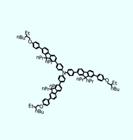 CCCCC(CC)COc1ccc(-c2ccc3c(c2)C(CCC)(CCC)c2cc(-c4ccc(N(c5ccc(-c6ccc7c(c6)C(CCC)(CCC)c6cc(-c8ccc(OCC(CC)CCCC)cc8)ccc6-7)cc5)c5ccc(-c6ccc7c(c6)C(CCC)(CCC)c6cc(-c8ccc(OCC(CC)CCCC)cc8)ccc6-7)cc5)cc4)ccc2-3)cc1